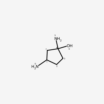 NC1CCC(N)(O)C1